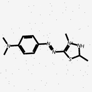 CC1N[N+](C)=C(N=Nc2ccc(N(C)C)cc2)S1